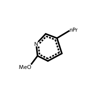 [CH2]CCc1ccc(OC)nc1